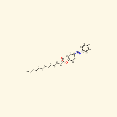 CCCCCCCCCCCCC(=O)Oc1ccc(N=Nc2ccccc2)cc1